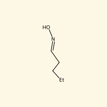 [CH2]CCCC=NO